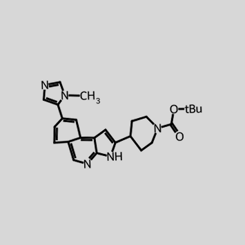 Cn1cncc1-c1ccc2cnc3[nH]c(C4CCN(C(=O)OC(C)(C)C)CC4)cc3c2c1